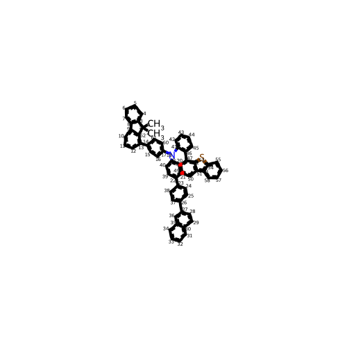 CC1(C)c2ccccc2-c2cccc(-c3ccc(N(c4ccc(-c5ccc(-c6ccc7ccccc7c6)cc5)cc4)c4ccccc4-c4cccc5c4sc4ccccc45)cc3)c21